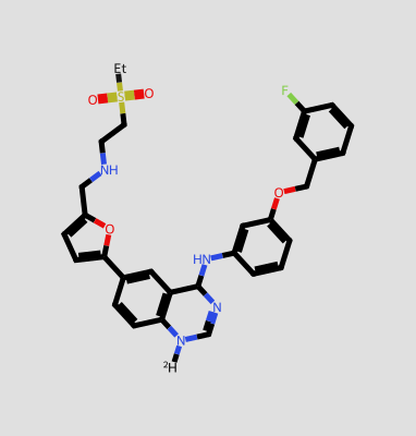 [2H]N1C=NC(Nc2cccc(OCc3cccc(F)c3)c2)c2cc(-c3ccc(CNCCS(=O)(=O)CC)o3)ccc21